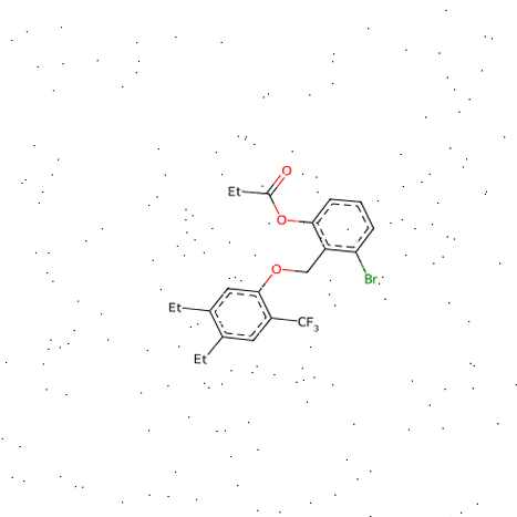 CCC(=O)Oc1cccc(Br)c1COc1cc(CC)c(CC)cc1C(F)(F)F